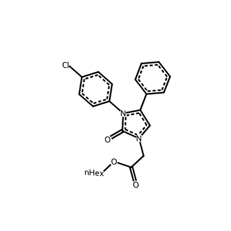 CCCCCCOC(=O)Cn1cc(-c2ccccc2)n(-c2ccc(Cl)cc2)c1=O